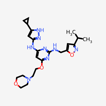 CC(C)c1cc(CNc2nc(Nc3cc(C4CC4)[nH]n3)cc(OCCN3CCOCC3)n2)on1